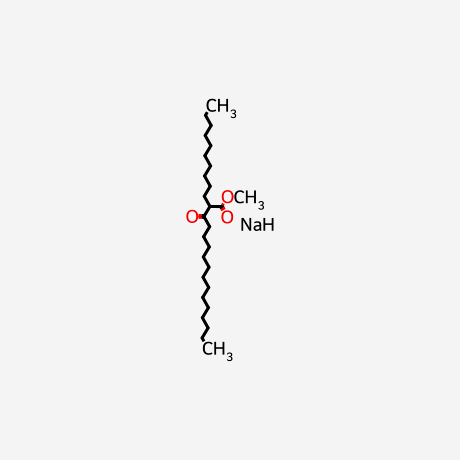 CCCCCCCCCCCCCC(=O)C(CCCCCCCCCC)C(=O)OC.[NaH]